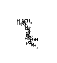 COc1cc(F)cc(C(CO)NC(=O)N2CCc3cc(-c4cn(COCC[Si](C)(C)C)nc4F)c(F)cc32)c1